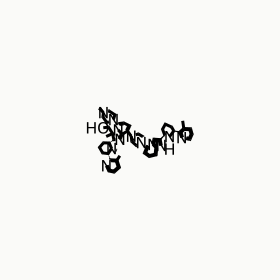 Cc1cccnc1[C@@H]1CCC[C@H](c2cn3c(N4CCN(C5=CC=C(N6CCN(C)CC6)N6C5=NC([C@H]5CCC[C@@H](c7ncccc7C)N5C)C6(C)CO)CC4)cccc3n2)N1